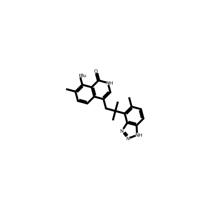 Cc1ccc2[nH]nnc2c1C(C)(C)Cc1c[nH]c(=O)c2c(C(C)(C)C)c(C)ccc12